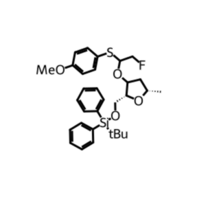 COc1ccc(SC(CF)OC2C[C@H](C)O[C@@H]2CO[Si](c2ccccc2)(c2ccccc2)C(C)(C)C)cc1